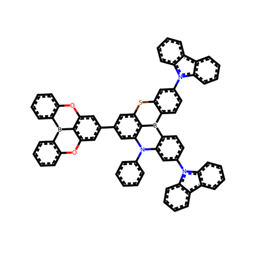 c1ccc(N2c3cc(-n4c5ccccc5c5ccccc54)ccc3B3c4ccc(-n5c6ccccc6c6ccccc65)cc4Sc4cc(-c5cc6c7c(c5)Oc5ccccc5B7c5ccccc5O6)cc2c43)cc1